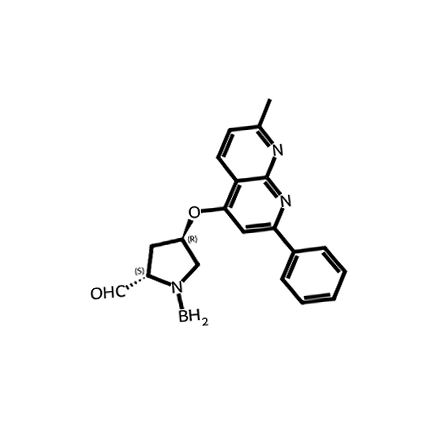 BN1C[C@H](Oc2cc(-c3ccccc3)nc3nc(C)ccc23)C[C@H]1C=O